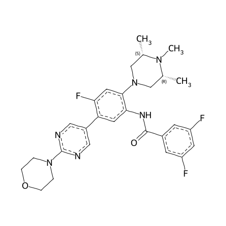 C[C@@H]1CN(c2cc(F)c(-c3cnc(N4CCOCC4)nc3)cc2NC(=O)c2cc(F)cc(F)c2)C[C@H](C)N1C